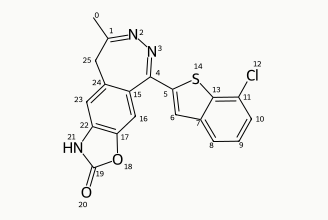 CC1=NN=C(c2cc3cccc(Cl)c3s2)c2cc3oc(=O)[nH]c3cc2C1